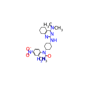 Cc1cc([N+](=O)[O-])ccc1N(C(N)=O)[C@H]1CC[C@@H](Nc2nc3c(c(N(C)C)n2)CCCC3)CC1